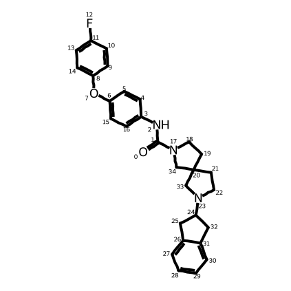 O=C(Nc1ccc(Oc2ccc(F)cc2)cc1)N1CCC2(CCN(C3Cc4ccccc4C3)C2)C1